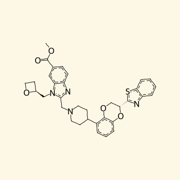 COC(=O)c1ccc2nc(CN3CCC(c4cccc5c4OC[C@H](c4nc6ccccc6s4)O5)CC3)n(C[C@@H]3CCO3)c2c1